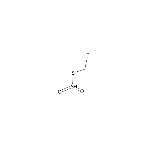 O=[SH](=O)SCF